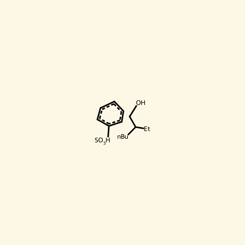 CCCCC(CC)CO.O=S(=O)(O)c1ccccc1